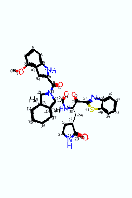 COc1cccc2[nH]c(C(=O)N3C[C@@H]4CCCC[C@@H]4[C@H]3C(=O)N[C@@H](C[C@@H]3CCNC3=O)C(=O)c3nc4ccccc4s3)cc12